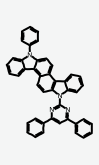 c1ccc(-c2cc(-c3ccccc3)nc(-n3c4ccccc4c4c5ccc6c(c5ccc43)c3ccccc3n6-c3ccccc3)n2)cc1